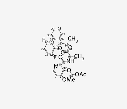 COc1ccnc(C(=O)N[C@@H](C)C(=O)O[C@@H](C)[C@H](Oc2cc(F)ccc2F)c2ccccc2)c1OCOC(C)=O